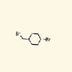 BrCC1CCC(Br)CC1